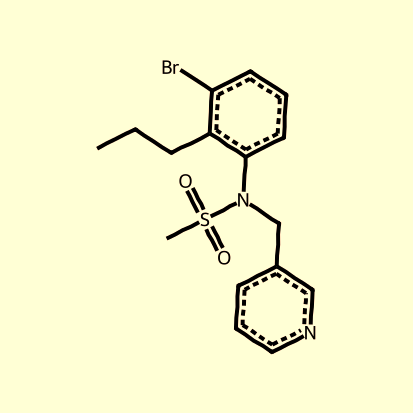 CCCc1c(Br)cccc1N(Cc1cccnc1)S(C)(=O)=O